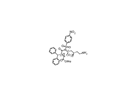 COC(=O)N[C@H](C(=O)N([C@@H](CC(F)CCN)C(=O)O)S(=O)(=O)c1ccc([N+](=O)[O-])cc1)C(c1ccccc1)c1ccccc1